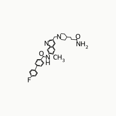 Cc1cc2cc(CN3CCC(CCC(N)=O)CC3)cnc2cc1NC(=O)c1ccc(-c2ccc(F)cc2)cc1